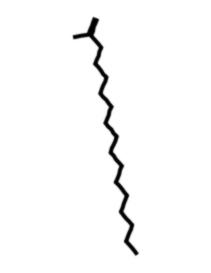 C=C(C)CCCCCCCCCCCCCCC